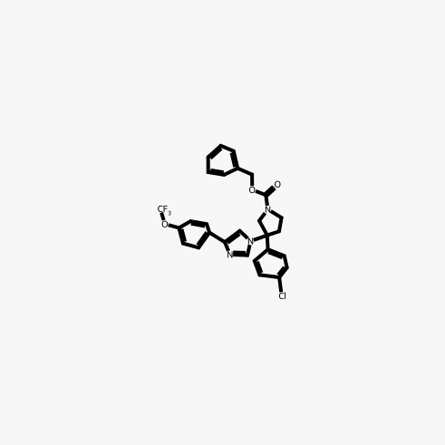 O=C(OCc1ccccc1)N1CCC(c2ccc(Cl)cc2)(n2cnc(-c3ccc(OC(F)(F)F)cc3)c2)C1